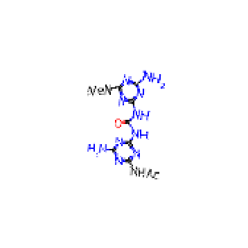 CNc1nc(N)nc(NC(=O)Nc2nc(N)nc(NC(C)=O)n2)n1